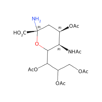 CC(=O)N[C@H]1C(C(OC(C)=O)C(COC(C)=O)OC(C)=O)O[C@@](N)(C(=O)O)C[C@H]1OC(C)=O